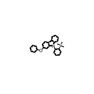 C[Si](C)(C)c1ccccc1-n1c2ccccc2c2ccc(Oc3ccccc3)cc21